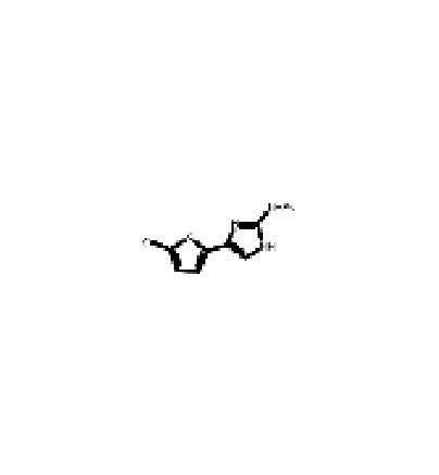 CC(=O)Nc1nc(-c2ccc(Cl)s2)c[nH]1